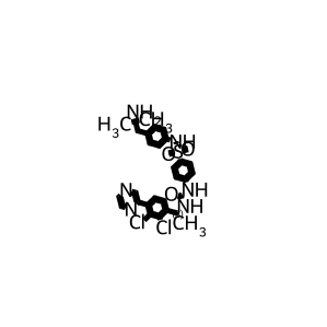 C[C@H](NC(=O)Nc1ccc(S(=O)(=O)Nc2ccc(CC(C)(C)N)cc2)cc1)c1ccc(-c2cnccn2)c(Cl)c1Cl